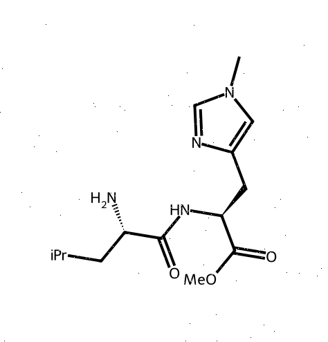 COC(=O)[C@H](Cc1cn(C)cn1)NC(=O)[C@@H](N)CC(C)C